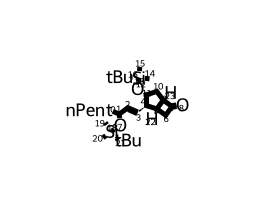 CCCCCC(/C=C/[C@H]1[C@@H]2CC(=O)[C@@H]2C[C@@H]1O[Si](C)(C)C(C)(C)C)O[Si](C)(C)C(C)(C)C